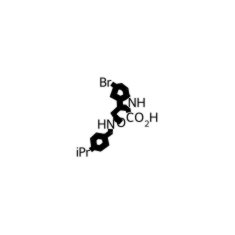 CC(C)c1ccc(CNC(=O)Cc2c(C(=O)O)[nH]c3ccc(Br)cc23)cc1